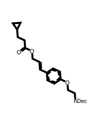 CCCCCCCCCCCCOc1ccc(C=CCOC(=O)CCC2CC2)cc1